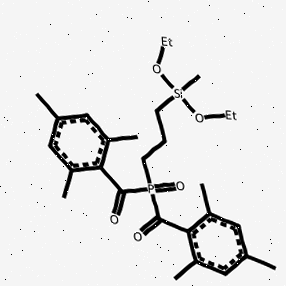 CCO[Si](C)(CCCP(=O)(C(=O)c1c(C)cc(C)cc1C)C(=O)c1c(C)cc(C)cc1C)OCC